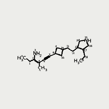 CC/C(N)=C(\C)C#CC1CC(CCC2CNCC2CC)C1